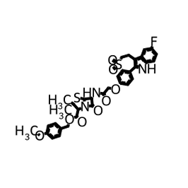 COc1ccc(COC(=O)C2N3C(=O)C(NC(=O)COc4ccc5c(c4)S(=O)(=O)CCc4c-5[nH]c5ccc(F)cc45)C3SC2(C)C)cc1